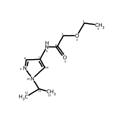 CCOCC(=O)Nc1cnn(C(C)C)c1